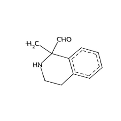 [CH2]C1(C=O)NCCc2ccccc21